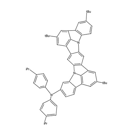 CC(C)c1ccc(N(c2ccc(C(C)C)cc2)c2ccc3c4cc(C(C)(C)C)cc5c6cc7c(cc6n(c3c2)c45)c2cc(C(C)(C)C)cc3c4cc(C(C)(C)C)ccc4n7c32)cc1